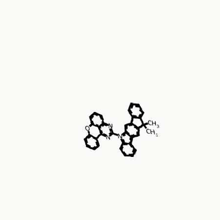 CC1(C)c2ccccc2-c2cc3c(cc21)c1ccccc1n3-c1nc2c3c(cccc3n1)Oc1ccccc1-2